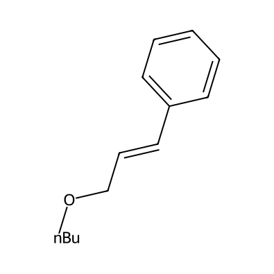 CCCCOCC=Cc1ccccc1